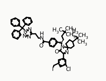 CC(C)(C)CC[C@H](c1ccc(C(=O)NCCc2nnn(C(c3ccccc3)(c3ccccc3)c3ccccc3)n2)cc1)N1C(=O)C(c2cc(Cl)cc(CI)c2)=NC12CCC(C(C)(C)C)CC2